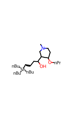 CCC[CH2][Sn]([CH]=CCC(O)C1CN(C)CCC1OCCC)([CH2]CCC)[CH2]CCC